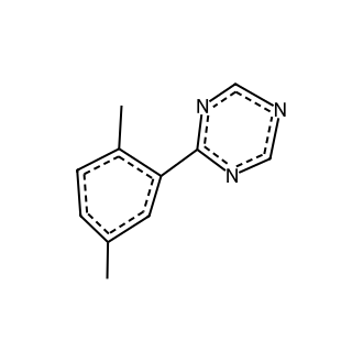 Cc1ccc(C)c(-c2ncncn2)c1